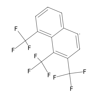 FC(F)(F)c1c[c]c2cccc(C(F)(F)F)c2c1C(F)(F)F